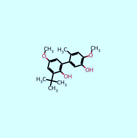 COc1cc(-c2cc(O)c(OC)cc2C)c(O)c(C(C)(C)C)c1